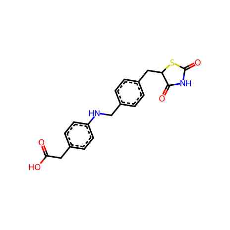 O=C(O)Cc1ccc(NCc2ccc(CC3SC(=O)NC3=O)cc2)cc1